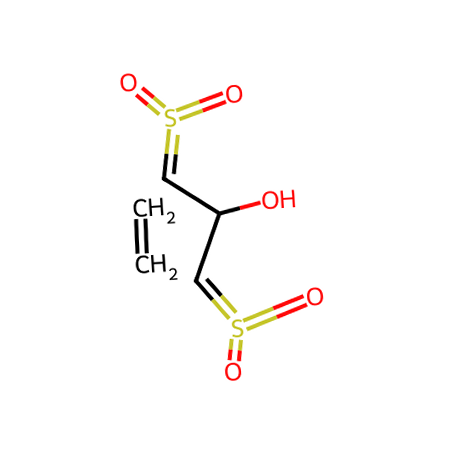 C=C.O=S(=O)=CC(O)C=S(=O)=O